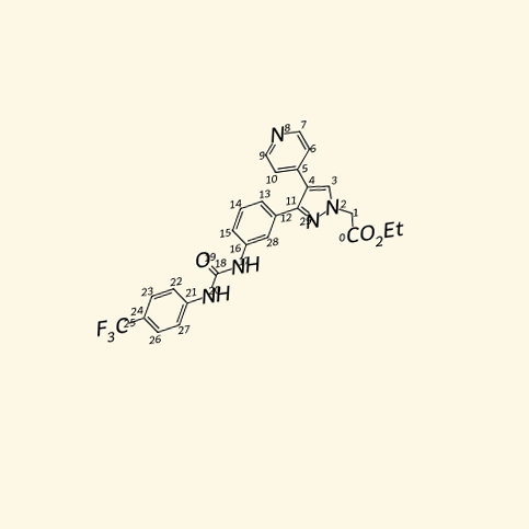 CCOC(=O)Cn1cc(-c2ccncc2)c(-c2cccc(NC(=O)Nc3ccc(C(F)(F)F)cc3)c2)n1